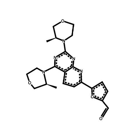 C[C@H]1COCCN1c1nc(N2CCOC[C@@H]2C)c2ccc(-c3ccc(C=O)o3)nc2n1